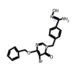 N/C(=N\O)c1ccc(Cn2cnc(OCc3ccccc3)c(Br)c2=O)cc1